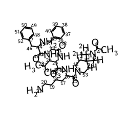 [2H]C1([2H])N(C(C)=O)C([2H])([2H])C12CCN(C(=O)[C@@H](CCCCN)NC(=O)[C@@H](CC(C)C)NC(=O)[C@@H](Cc1ccccc1)NC(=O)[C@H](N)Cc1ccccc1)CC2